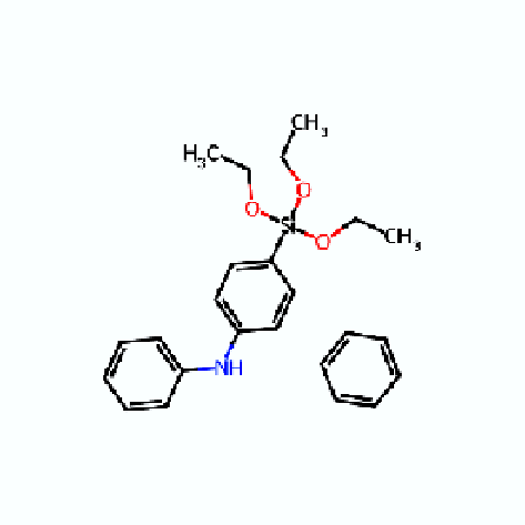 CCO[Si](OCC)(OCC)c1ccc(Nc2ccccc2)cc1.c1ccccc1